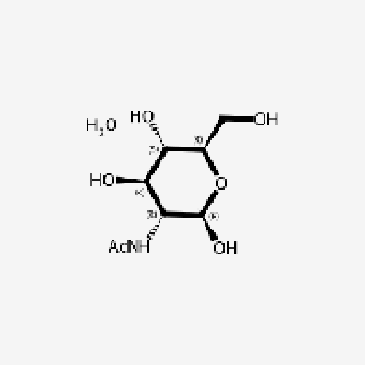 CC(=O)N[C@@H]1[C@@H](O)[C@H](O)[C@@H](CO)O[C@H]1O.O